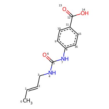 C/C=C/CNC(=O)Nc1ccc(C(=O)O)cc1